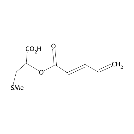 C=CC=CC(=O)OC(CSC)C(=O)O